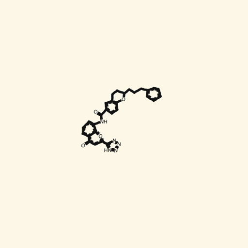 O=C(Nc1cccc2c(=O)cc(-c3nnn[nH]3)oc12)c1ccc2c(c1)CCC(CCCc1ccccc1)O2